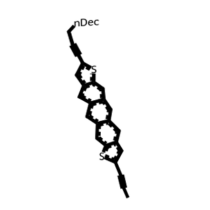 CC#Cc1cc2cc3cc4cc5sc(C#CCCCCCCCCCCC)cc5cc4cc3cc2s1